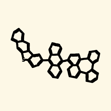 c1ccc2c(c1)-c1ccccc1-c1ccc(-c3c4ccccc4c(-c4ccc5sc6cc7ccccc7cc6c5c4)c4ccccc34)c3cccc-2c13